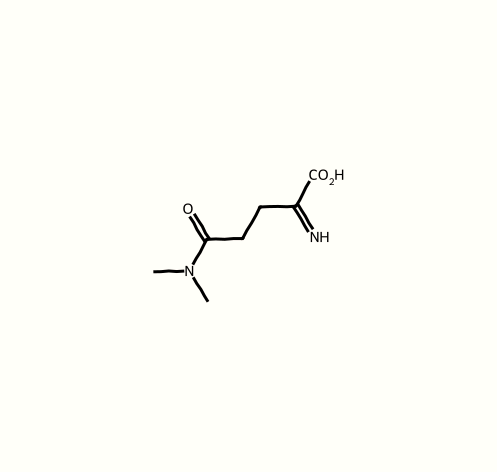 CN(C)C(=O)CCC(=N)C(=O)O